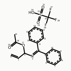 C=CC(N=C(c1ccccc1)c1ccccc1)OC(C)=O.O=S(=O)(O)C(F)(F)F